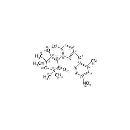 CCc1ccc(Oc2ccc([N+](=O)[O-])cc2C#N)cc1C1=C(O)C(C)(C)OC(C)(C)C1=O